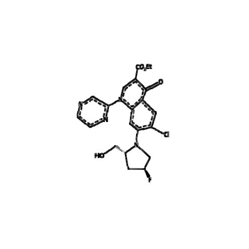 CCOC(=O)c1cn(-c2cnccn2)c2cc(N3C[C@@H](F)C[C@@H]3CO)c(Cl)cc2c1=O